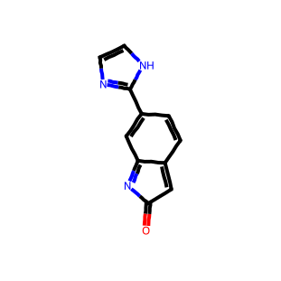 O=C1C=c2ccc(-c3ncc[nH]3)cc2=N1